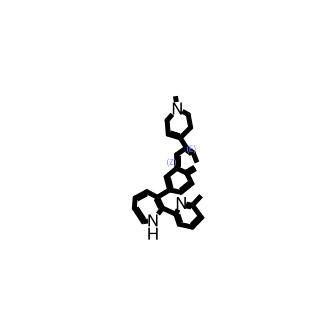 C=c1ccc(C2=C(c3cccc(C)n3)NC=CC=C2)c/c1=C/C(=C\C)C1=CCN(C)CC1